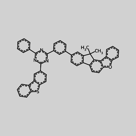 CC1(C)c2cc(-c3cccc(-c4nc(-c5ccccc5)nc(-c5ccc6sc7ccccc7c6c5)n4)c3)ccc2-c2ccc3oc4ccccc4c3c21